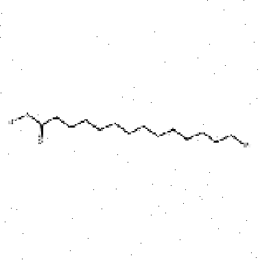 [CH2]CSC(=O)CCCCCCCCCCCCCC(C)C